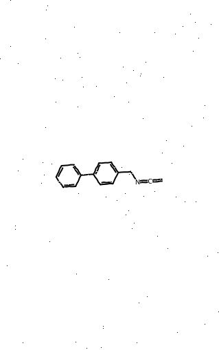 C=C=NCc1ccc(-c2ccccc2)cc1